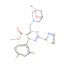 COC(=O)C1=C(CN2CC3C[C@H](C2)O3)NC(c2nccs2)=NC1c1ccc(F)cc1Cl